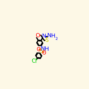 NC1=NC2(COCc3ccc(NS(=O)(=O)c4ccc(Cl)cc4)cc32)CS1